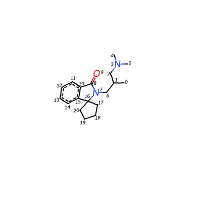 CC(CN(C)C)CN1C(=O)c2ccccc2C12CCCC2